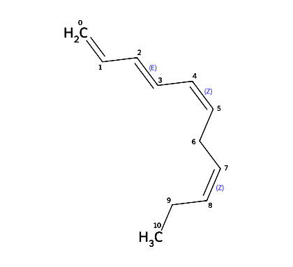 C=C/C=C/C=C\C/C=C\CC